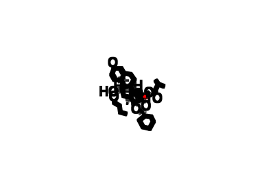 CC(C)C(=O)OCC(=O)[C@@]12O[C@H](C3CCCCC3)O[C@@H]1C[C@H]1[C@@H]3CCC4=CC(=O)C=C[C@]4(C)[C@H]3[C@@H](O)C[C@@]12C.CCCC=O